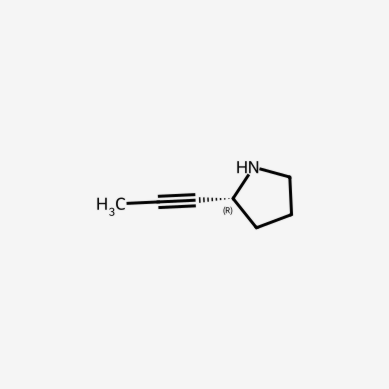 CC#C[C@H]1CCCN1